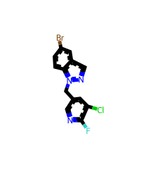 Fc1ncc(Cn2ncc3cc(Br)ccc32)cc1Cl